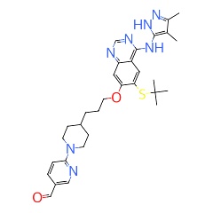 Cc1n[nH]c(Nc2ncnc3cc(OCCCC4CCN(c5ccc(C=O)cn5)CC4)c(SC(C)(C)C)cc23)c1C